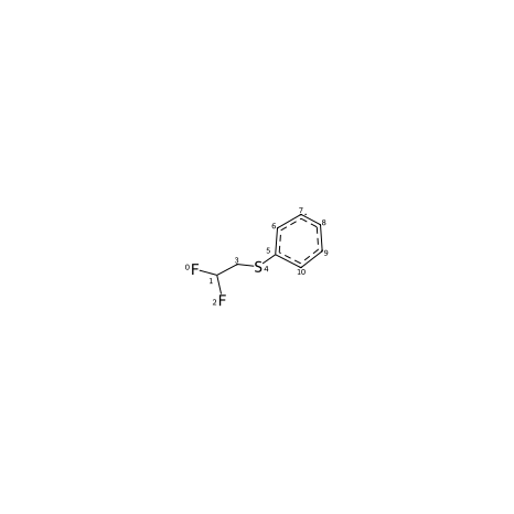 FC(F)CSc1c[c]ccc1